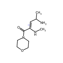 CN/C(=C\C(C)N)C(=O)N1CCOCC1